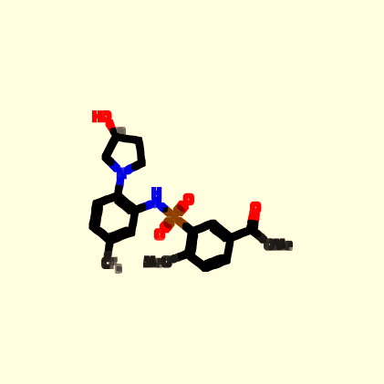 COC(=O)c1ccc(OC)c(S(=O)(=O)Nc2cc(C(F)(F)F)ccc2N2CC[C@H](O)C2)c1